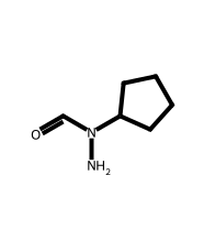 NN(C=O)C1CCCC1